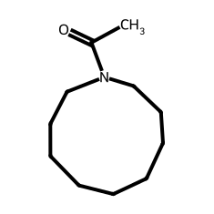 CC(=O)N1CCCCCCCCC1